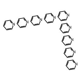 c1ccncc1.c1ccncc1.c1ccncc1.c1ccncc1.c1ccncc1.c1ccncc1.c1ccncc1.c1ccncc1.c1ccncc1